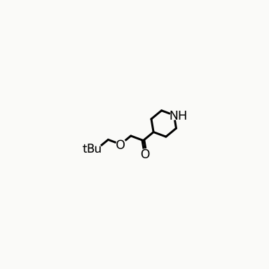 CC(C)(C)COCC(=O)C1CCNCC1